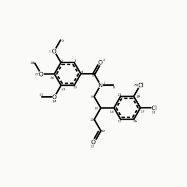 COc1cc(C(=O)N(C)CC(CC=O)c2ccc(Cl)c(Cl)c2)cc(OC)c1OC